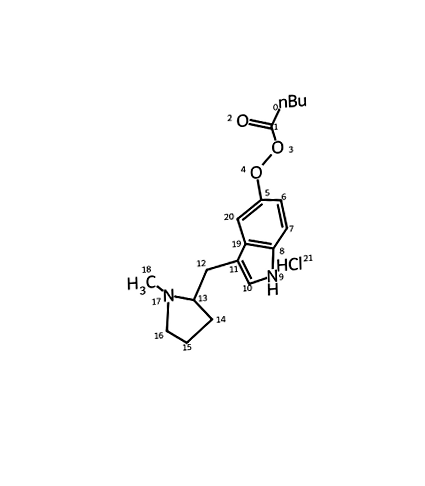 CCCCC(=O)OOc1ccc2[nH]cc(CC3CCCN3C)c2c1.Cl